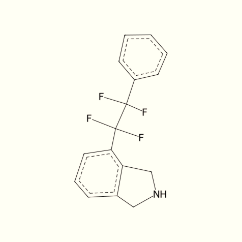 FC(F)(c1ccccc1)C(F)(F)c1cccc2c1CNC2